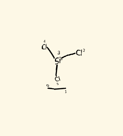 CC.Cl[Si](Cl)Cl